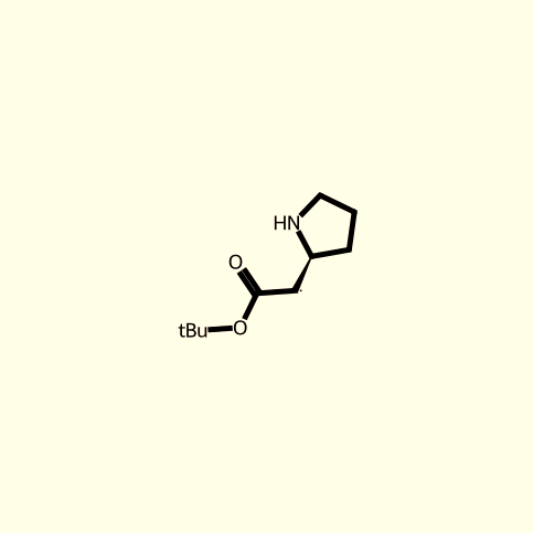 CC(C)(C)OC(=O)[CH][C@@H]1CCCN1